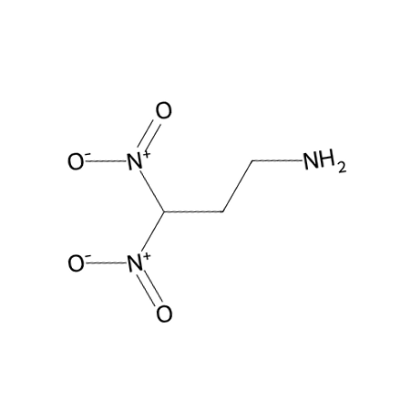 NCCC([N+](=O)[O-])[N+](=O)[O-]